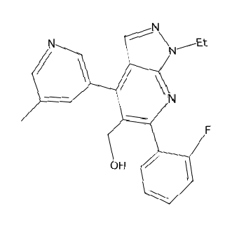 CCn1ncc2c(-c3cncc(C)c3)c(CO)c(-c3ccccc3F)nc21